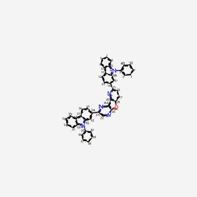 c1ccc(-n2c3ccccc3c3ccc(-c4ccc5oc6ncc(-c7ccc8c9ccccc9n(-c9ccccc9)c8c7)nc6c5n4)cc32)cc1